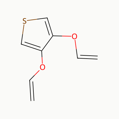 C=COc1cscc1OC=C